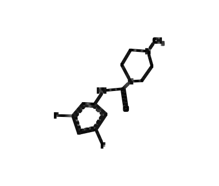 CN1CCN(C(=O)Nc2cc(F)cc(F)c2)CC1